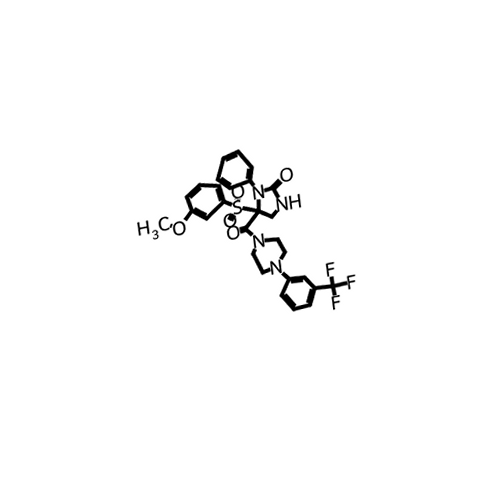 COc1cccc(S(=O)(=O)C2(C(=O)N3CCN(c4cccc(C(F)(F)F)c4)CC3)CNC(=O)N2c2ccccc2)c1